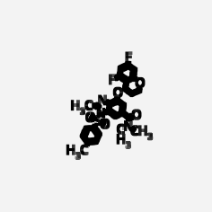 Cc1ccc(S(=O)(=O)n2c(C)nc3c(O[C@H]4CCOc5cc(F)cc(F)c54)cc(C(=O)N(C)C)cc32)cc1